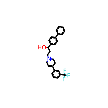 OC(CCN1CC=C(c2cccc(C(F)(F)F)c2)CC1)c1ccc(-c2ccccc2)cc1